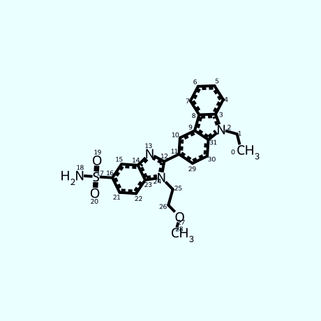 CCn1c2ccccc2c2cc(-c3nc4cc(S(N)(=O)=O)ccc4n3CCOC)ccc21